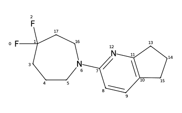 FC1(F)CCCN(c2ccc3c(n2)CCC3)CC1